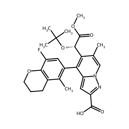 COC(=O)[C@@H](OC(C)(C)C)c1c(C)cn2nc(C(=O)O)cc2c1-c1cc(F)c2c(c1C)CCCO2